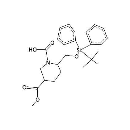 COC(=O)C1CCC(CO[Si](c2ccccc2)(c2ccccc2)C(C)(C)C)N(C(=O)O)C1